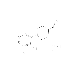 CC(C)(C)[Si](C)(C)O[C@@H]1CN(c2cc(C#N)cc(N)c2Cl)CC[C@H]1NC(=O)O